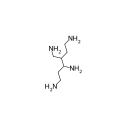 NCCC(N)C(CN)CCN